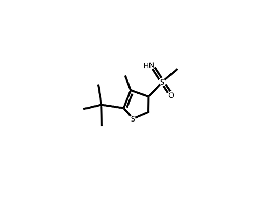 CC1=C(C(C)(C)C)SCC1S(C)(=N)=O